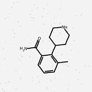 Cc1cccc(C(N)=O)c1C1CCNCC1